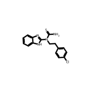 NC(=S)N(CCc1ccc(Cl)cc1)c1nc2ccccc2[nH]1